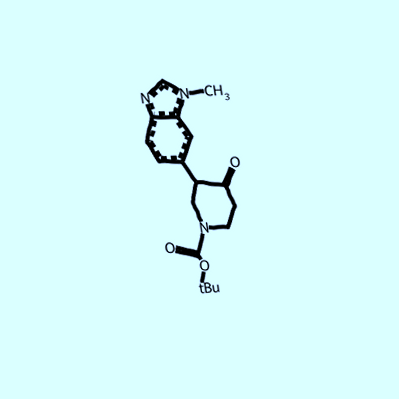 Cn1cnc2ccc(C3CN(C(=O)OC(C)(C)C)CCC3=O)cc21